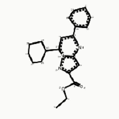 CCOC(=O)c1cc2nc(-c3ccccc3)cc(C3CCCCC3)n2n1